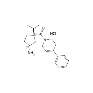 CC(C)[C@]1(C(=O)N2CC=C(c3ccccc3)CC2)CC[C@@H](N)C1.Cl